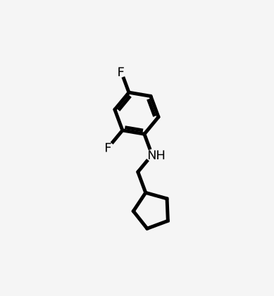 Fc1ccc(NCC2CCCC2)c(F)c1